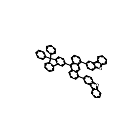 c1ccc(C2(c3ccccc3)c3ccccc3-c3cc(-c4c5cccc(-c6ccc7oc8ccccc8c7c6)c5cc5c(-c6ccc7oc8ccccc8c7c6)cccc45)ccc32)cc1